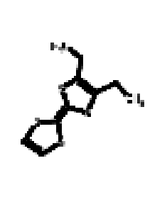 CCC1=C(CC)SC(=C2SC=CS2)S1